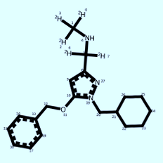 [2H]C([2H])([2H])NC([2H])([2H])c1cc(OCc2ccccc2)n(CC2CCCCC2)n1